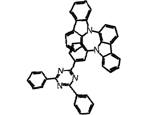 c1ccc(-c2nc(-c3ccccc3)nc(-c3cccc(-n4c5ccccc5c5cccc(-n6c7ccccc7c7ccccc76)c54)c3)n2)cc1